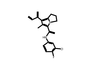 C=CC(=C)c1c(C)c(C(=C)Nc2ccc(F)c(Cl)c2)n2c1CCC2